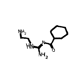 NCCN/C(N)=N/C(=O)C1CCCCC1